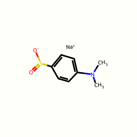 CN(C)c1ccc(S(=O)[O-])cc1.[Na+]